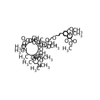 CCOC(=O)c1cn2c3c(cc(C=CCOCCO[C@H]4[C@H](C)O[C@@H](O[C@H]5[C@H](C)[C@@H](O[C@@H]6O[C@H](C)C[C@H](N(C)C)[C@H]6OC(C)=O)[C@](C)(O)C[C@@H](C)CN(C)[C@H](C)[C@H]6OC(=O)O[C@]6(C)[C@@H](CC)OC(=O)[C@@H]5C)C[C@@]4(C)OC)cc3c1=O)COC2(C)C